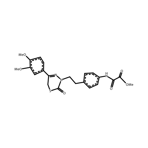 COC(=O)C(=O)Nc1ccc(CCN2N=C(c3ccc(OC)c(OC)c3)CSC2=O)cc1